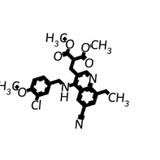 CCc1cc(C#N)cc2c(NCc3ccc(OC)c(Cl)c3)c(CC(C(=O)OC)C(=O)OC)cnc12